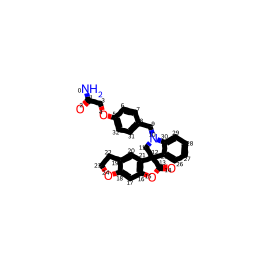 NC(=O)COc1ccc(CN2CC3(C(=O)Oc4cc5c(cc43)CCO5)c3ccccc32)cc1